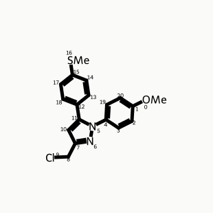 COc1ccc(-n2nc(CCl)cc2-c2ccc(SC)cc2)cc1